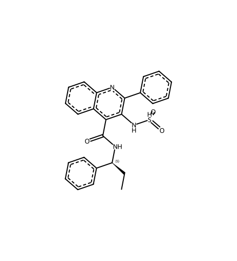 CC[C@H](NC(=O)c1c(N[SH](=O)=O)c(-c2ccccc2)nc2ccccc12)c1ccccc1